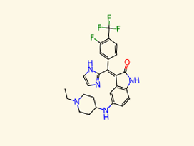 CCN1CCC(Nc2ccc3c(c2)C(=C(c2ccc(C(F)(F)F)c(F)c2)c2ncc[nH]2)C(=O)N3)CC1